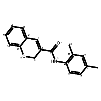 Cc1ccc(NC(=O)C2=Cc3ccccc3OC2)c(C)c1